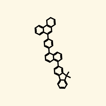 CC1(C)c2ccccc2-c2ccc(-c3cccc4c(-c5ccc(-c6cc7c(c8ccccc68)CCC=C7)cc5)cccc34)cc21